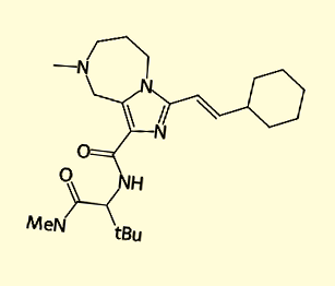 CNC(=O)C(NC(=O)c1nc(C=CC2CCCCC2)n2c1CN(C)CCC2)C(C)(C)C